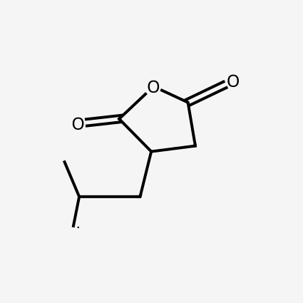 [CH2]C(C)CC1CC(=O)OC1=O